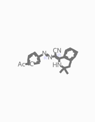 CC(=O)c1ccc(/N=N/C(C#N)=C2\NC(C)(C)Cc3ccccc32)cc1